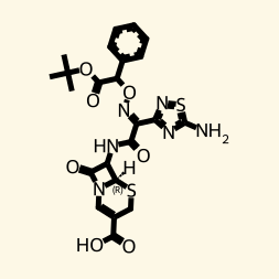 CC(C)(C)OC(=O)C(ON=C(C(=O)NC1C(=O)N2C=C(C(=O)O)CS[C@H]12)c1nsc(N)n1)c1ccccc1